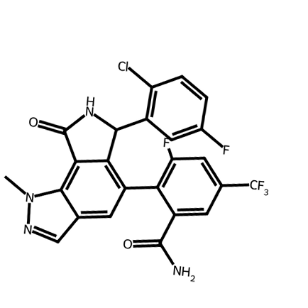 Cn1ncc2cc(-c3c(F)cc(C(F)(F)F)cc3C(N)=O)c3c(c21)C(=O)NC3c1cc(F)ccc1Cl